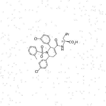 Cc1ccccc1S(=O)(=O)N1C(c2ccc(Cl)cc2)CC=C(C(=O)N[C@@H](CC(C)C)C(=O)O)C1c1cccc(Cl)c1